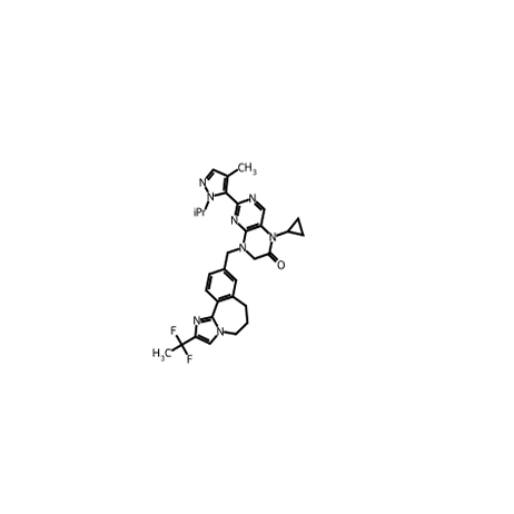 Cc1cnn(C(C)C)c1-c1ncc2c(n1)N(Cc1ccc3c(c1)CCCn1cc(C(C)(F)F)nc1-3)CC(=O)N2C1CC1